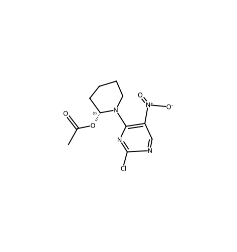 CC(=O)O[C@@H]1CCCCN1c1nc(Cl)ncc1[N+](=O)[O-]